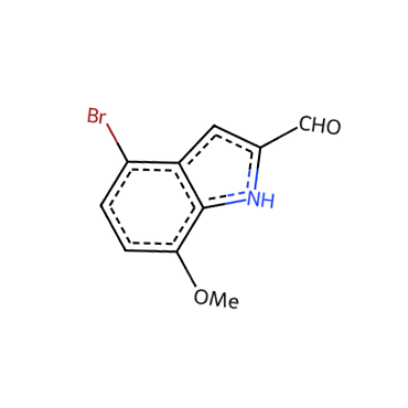 COc1ccc(Br)c2cc(C=O)[nH]c12